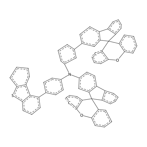 c1cc(-c2ccc3c(c2)C2(c4ccccc4Oc4ccccc42)c2ccccc2-3)cc(N(c2ccc(-c3cccc4sc5ccccc5c34)cc2)c2ccc3c(c2)C2(c4ccccc4Oc4ccccc42)c2ccccc2-3)c1